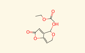 CCOC(C)=O.O=C1C=C2C(=CCOC2O)O1